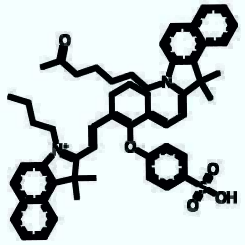 CCCC[N+]1=C(/C=C/C2=C(Oc3ccc(S(=O)(=O)O)cc3)C(=C/C=C3\N(CCCCCC(C)=O)c4ccc5ccccc5c4C3(C)C)/CCC2)C(C)(C)c2c1ccc1ccccc21